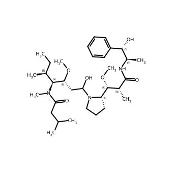 CC[C@H](C)[C@@H]([C@@H](CC(O)N1CCC[C@H]1[C@H](OC)[C@@H](C)C(=O)N[C@H](C)[C@@H](O)c1ccccc1)OC)N(C)C(=O)CC(C)C